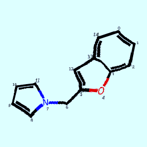 c1ccc2oc(Cn3cccc3)cc2c1